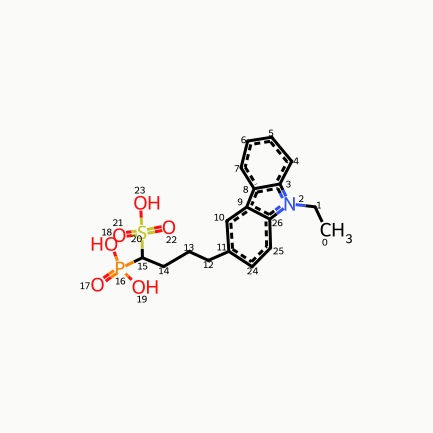 CCn1c2ccccc2c2cc(CCCC(P(=O)(O)O)S(=O)(=O)O)ccc21